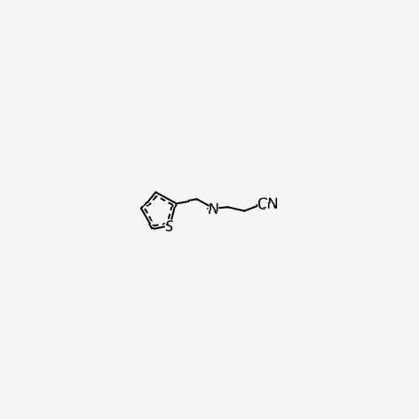 N#CCC[N]Cc1cccs1